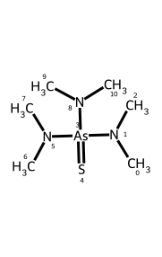 CN(C)[As](=S)(N(C)C)N(C)C